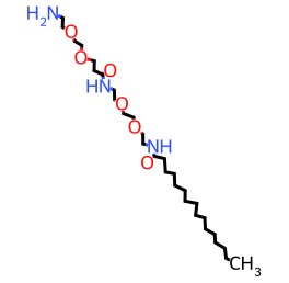 CCCCCCCCCCCCCCCC(=O)NCCOCCOCCNC(=O)CCOCCOCCN